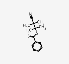 CC(C)(C#N)C(C)(C)SC(=S)c1ccccc1